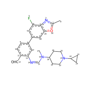 Cc1nc2c(F)cc(-c3ccc(C=O)c(/N=C\N(C)C4CCN(C5CC5)CC4)c3)cc2o1